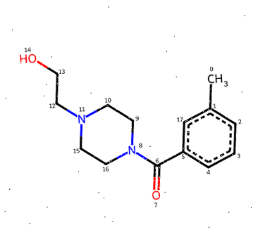 Cc1cccc(C(=O)N2CCN(CCO)CC2)c1